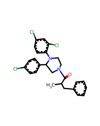 CC(Cc1ccccc1)C(=O)N1CCN(c2ccc(Cl)cc2Cl)C(c2ccc(Cl)cc2)C1